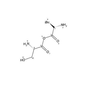 CC[C@H](C)[C@H](N)C(=O)OC(=O)[C@@H](N)CO